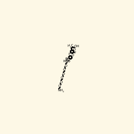 CC(=Cc1cc(F)c(Oc2ccc(S(=O)(=O)NCCOCCOCCOCCOCCOCCOCCN)cc2)c(F)c1)C(=O)O